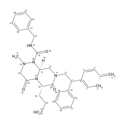 C=C/C=C\C(=C/C)C(CN1C[C@H]2N(C(=O)CN(C)N2C(=O)NCc2ccccc2)[C@@H](CCC(=O)O)C1=O)c1ccccc1